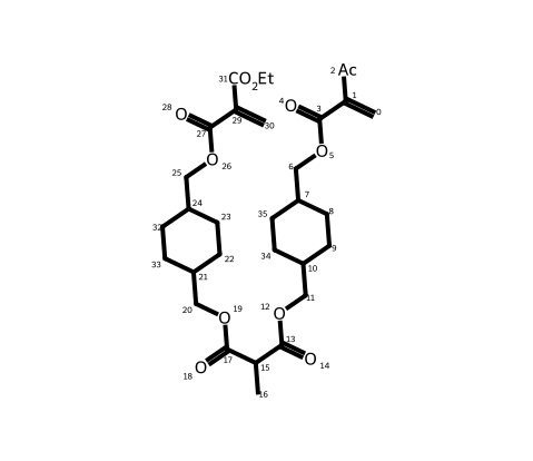 C=C(C(C)=O)C(=O)OCC1CCC(COC(=O)C(C)C(=O)OCC2CCC(COC(=O)C(=C)C(=O)OCC)CC2)CC1